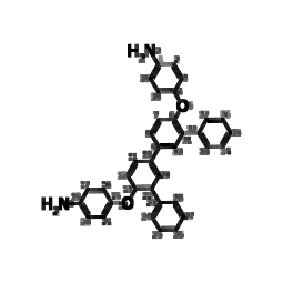 Nc1ccc(Oc2ccc(-c3ccc(Oc4ccc(N)cc4)c(-c4ccccc4)c3)cc2-c2ccccc2)cc1